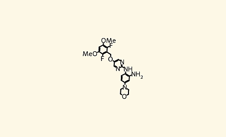 COc1cc(OC)c(F)c(COc2cnc(Nc3ccc(N4CCOCC4)cc3N)nc2)c1F